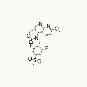 COc1ccc2c3c(cnc2n1)COC(=O)N3Cc1c(F)cc(S(C)(=O)=O)cc1F